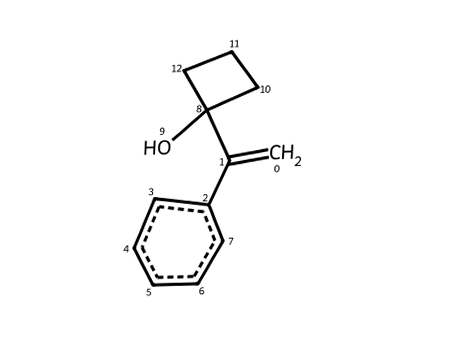 C=C(c1ccccc1)C1(O)CCC1